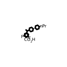 CCC[C@H]1CC[C@H](C2CCC(C(C)c3cc(F)c(C(=O)O)c(F)c3)CC2)CC1